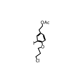 CC(=O)OCCc1ccc(OCCCCl)c(I)c1